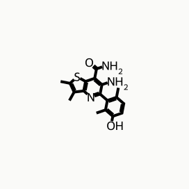 Cc1ccc(O)c(C)c1-c1nc2c(C)c(C)sc2c(C(N)=O)c1N